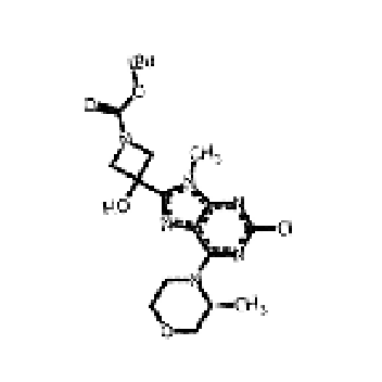 C[C@H]1COCCN1c1nc(Cl)nc2c1nc(C1(O)CN(C(=O)OC(C)(C)C)C1)n2C